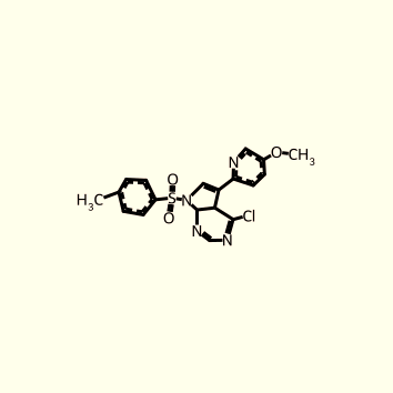 COc1ccc(C2=CN(S(=O)(=O)c3ccc(C)cc3)C3N=CN=C(Cl)C23)nc1